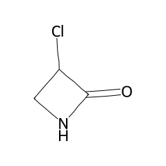 O=C1NCC1Cl